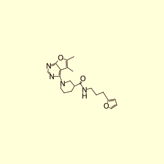 Cc1oc2ncnc(N3CCCC(C(=O)NCCCc4ccco4)C3)c2c1C